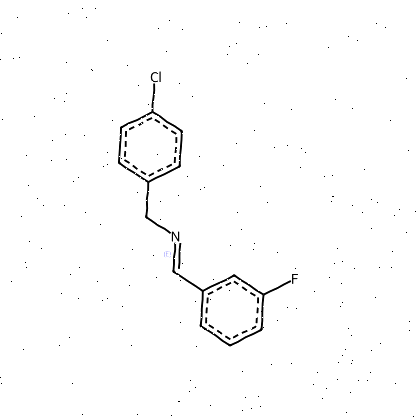 Fc1cccc(/C=N/Cc2ccc(Cl)cc2)c1